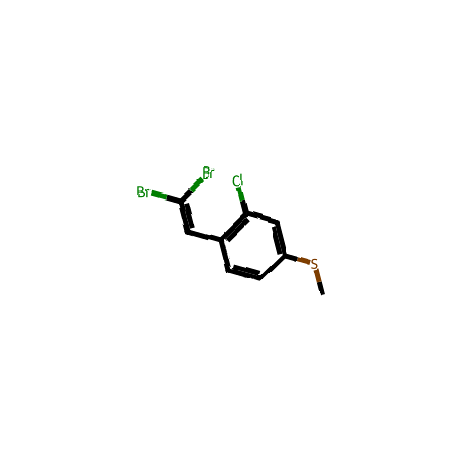 CSc1ccc(C=C(Br)Br)c(Cl)c1